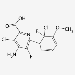 COC1=CC=CC(c2nc(C(=O)O)c(Cl)c(N)c2F)C1(F)Cl